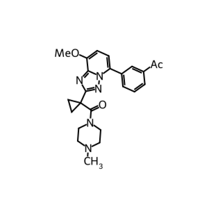 COc1ccc(-c2cccc(C(C)=O)c2)n2nc(C3(C(=O)N4CCN(C)CC4)CC3)nc12